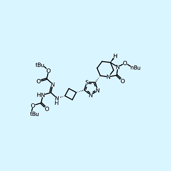 CCCCON1C(=O)N2C[C@@H]1CC[C@H]2c1nnc([C@H]2C[C@@H](NC(=NC(=O)OC(C)(C)C)NC(=O)OC(C)(C)C)C2)s1